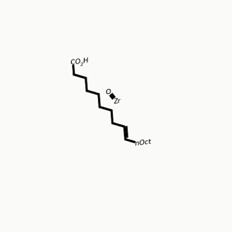 CCCCCCCCC=CCCCCCCCC(=O)O.[O]=[Zr]